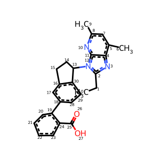 CCc1nc2c(C)cc(C)nc2n1C1CCc2cc(-c3ccccc3C(=O)O)ccc21